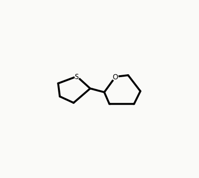 C1CCC([C]2CCCS2)OC1